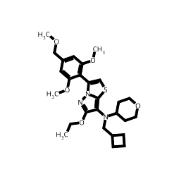 CCOc1nn2c(-c3c(OC)cc(COC)cc3OC)csc2c1N(CC1CCC1)C1CCOCC1